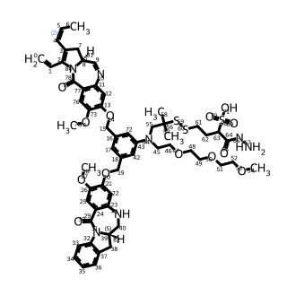 C=CC1=C(/C=C\C)C[C@H]2C=Nc3cc(OCc4cc(COc5cc6c(cc5OC)C(=O)N5c7ccccc7C[C@H]5CN6)cc(N(CCOCCOCCOC)CC(C)(C)SSCCC(C(=O)NN)S(=O)(=O)O)c4)c(OC)cc3C(=O)N12